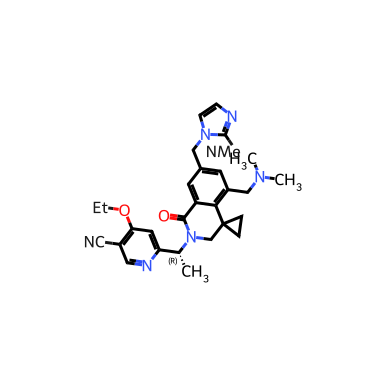 CCOc1cc([C@@H](C)N2CC3(CC3)c3c(CN(C)C)cc(Cn4ccnc4NC)cc3C2=O)ncc1C#N